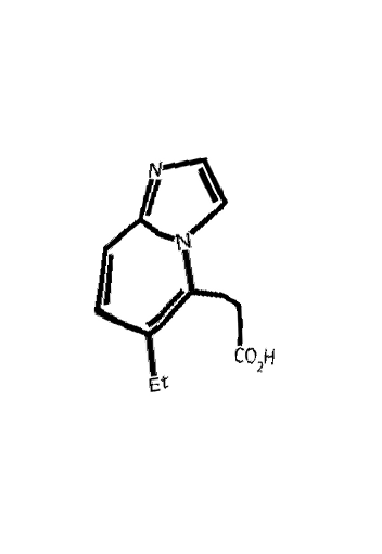 CCc1ccc2nccn2c1CC(=O)O